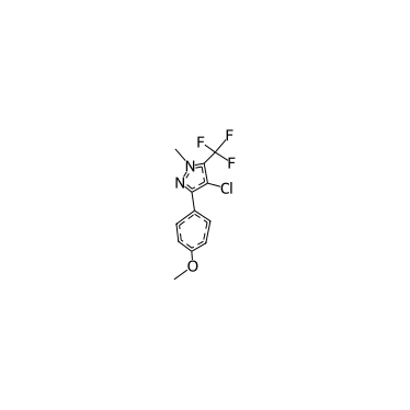 COc1ccc(-c2nn(C)c(C(F)(F)F)c2Cl)cc1